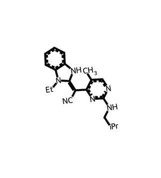 CCN1/C(=C(\C#N)c2nc(NCC(C)C)ncc2C)Nc2ccccc21